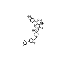 CN/C(=C1/N=CN(CC2(O)CCN(Cc3ccc(-c4cc(C)cs4)cc3F)CC2)C(=O)C1=N)c1ccc(CN)cc1